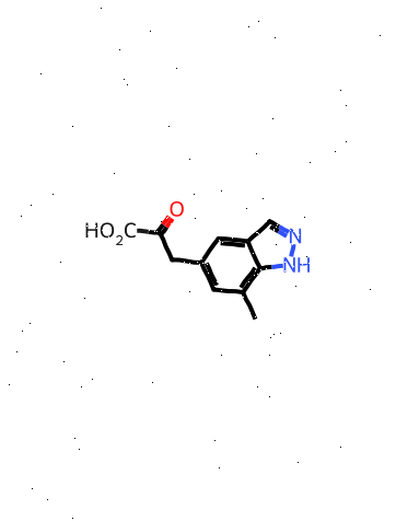 Cc1cc(CC(=O)C(=O)O)cc2cn[nH]c12